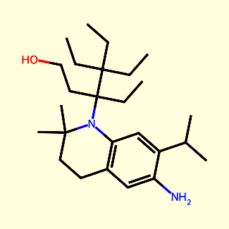 CCC(CC)(CC)C(CC)(CCO)N1c2cc(C(C)C)c(N)cc2CCC1(C)C